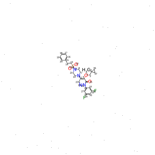 CC1(COc2c(N3CCN(S(=O)(=O)CCc4ccccc4)CC3)cnn(-c3cc(F)cc(F)c3)c2=O)CC1